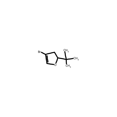 CC(C)(C)C1CC(Br)=CO1